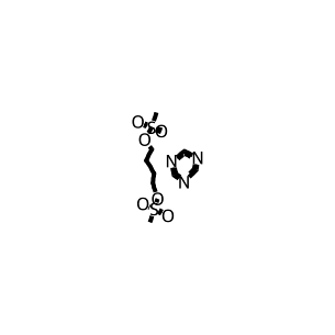 CS(=O)(=O)OCCCCOS(C)(=O)=O.c1ncncn1